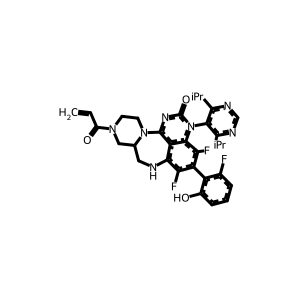 C=CC(=O)N1CCN2c3nc(=O)n(-c4c(C(C)C)ncnc4C(C)C)c4c(F)c(-c5c(O)cccc5F)c(F)c(c34)NCC2C1